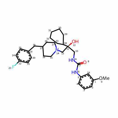 COc1cccc(NC(=O)NC[C@](O)(CN2CCC(Cc3ccc(F)cc3)CC2)C2CCCCC2)c1